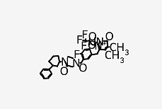 Cc1c(C)c(=O)[nH][n+](OC(=O)C(F)(F)F)c1Cc1ccc(F)c(C(=O)N2CCN(C3CCCC(c4ccccc4)C3)C(=O)C2)c1